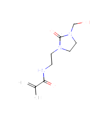 C=C(C)C(=O)NCCN1CCN(CO)C1=O